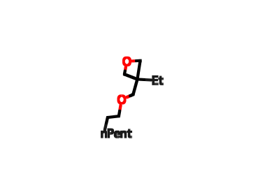 CCC[CH]CCCOCC1(CC)COC1